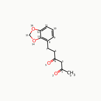 CC(=O)CC(=O)CCc1cccc2c1OCO2